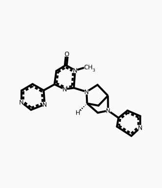 Cn1c(N2CC3C[C@H]2CN3c2ccncc2)nc(-c2ccncn2)cc1=O